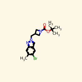 Cc1cc2nn(CC3CN(C(=O)OC(C)(C)C)C3)cc2cc1Br